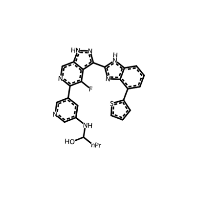 CCCC(O)Nc1cncc(-c2ncc3[nH]nc(-c4nc5c(-c6cccs6)cccc5[nH]4)c3c2F)c1